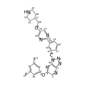 Fc1cc(F)cc(Oc2cnc3nnn(Cc4cccc(-c5ncc(OCC6CCNCC6)cn5)c4)c3n2)c1